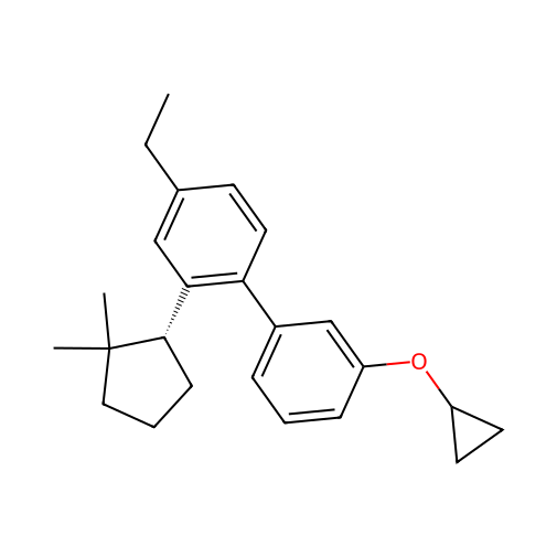 CCc1ccc(-c2cccc(OC3CC3)c2)c([C@@H]2CCCC2(C)C)c1